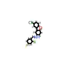 Fc1ccc(CNc2ccc3oc4ccc(Cl)cc4c3c2)c(F)c1